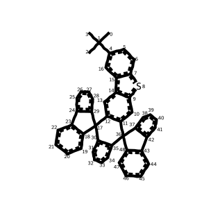 CC(C)(C)c1ccc2sc3cc4c(cc3c2c1)C1(c2ccccc2-c2ccccc21)c1ccccc1C41c2ccccc2-c2ccccc21